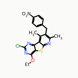 CCOc1nc(Cl)nc2c1sc1nc(C)c(Cc3ccc([N+](=O)[O-])cc3)c(C)c12